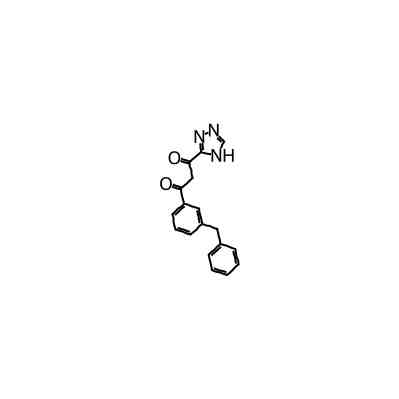 O=C(CC(=O)c1nnc[nH]1)c1cccc(Cc2ccccc2)c1